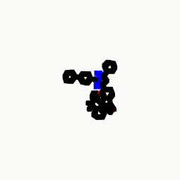 CC1(C)c2ccccc2C2(c3ccccc3-c3ccc(-c4cc(-c5ccccc5)nc(-c5ccc(-c6ccccc6)cc5)n4)cc32)c2ccccc21